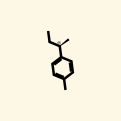 CC[C@@H](C)c1ccc(C)cc1